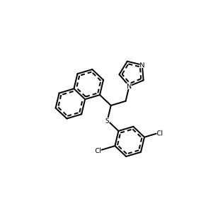 Clc1ccc(Cl)c(SC(Cn2ccnc2)c2cccc3ccccc23)c1